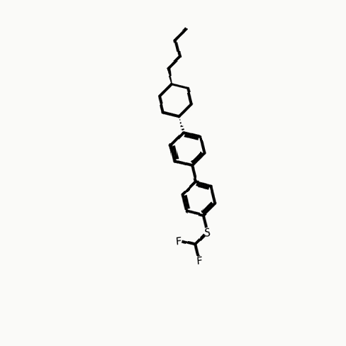 CCCC[C@H]1CC[C@H](c2ccc(-c3ccc(SC(F)F)cc3)cc2)CC1